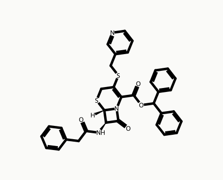 O=C(Cc1ccccc1)N[C@@H]1C(=O)N2C(C(=O)OC(c3ccccc3)c3ccccc3)=C(SCc3cccnc3)CS[C@@H]12